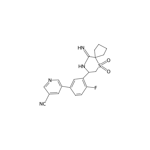 N#Cc1cncc(-c2ccc(F)c(C3CS(=O)(=O)C4(CCCC4)C(=N)N3)c2)c1